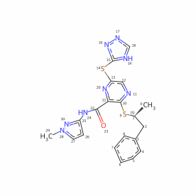 C[C@@H](Cc1ccccc1)Sc1ncc(Sc2nnc[nH]2)nc1C(=O)Nc1ccn(C)n1